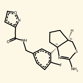 NC1=N[C@@]2(c3cc(CNC(=O)c4ccon4)ccc3F)CCC[C@H]2CS1